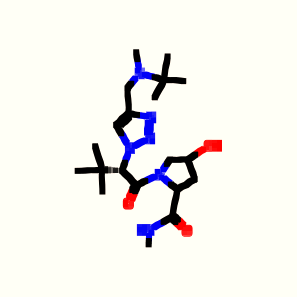 CNC(=O)C1CC(O)CN1C(=O)[C@@H](n1cc(CN(C)C(C)(C)C)nn1)C(C)(C)C